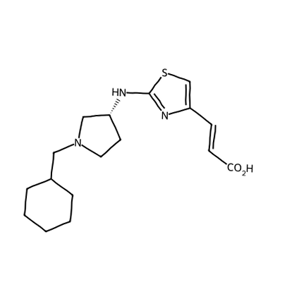 O=C(O)C=Cc1csc(N[C@@H]2CCN(CC3CCCCC3)C2)n1